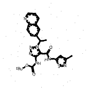 Cc1cc(NC(=O)c2c(NC(=O)OC(C)(C)C)nnn2C(C)c2ccc3ncccc3c2)sn1